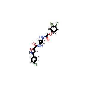 O=C(COc1ccc(Cl)c(F)c1)NC12CC(NC(=O)c3cc(-c4ccc(Cl)cc4)no3)(C1)C2